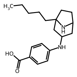 CCCCCC12CCC(CC(Nc3ccc(C(=O)O)cc3)C1)N2